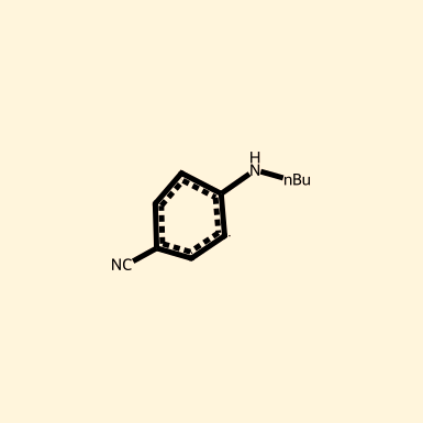 CCCCNc1[c]cc(C#N)cc1